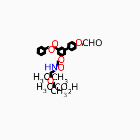 CC(C)(CCNC(=O)COc1cc(C(=O)OCc2ccccc2)cc(-c2ccc(OCC=O)cc2)c1)OCC(C)(C)C(=O)O